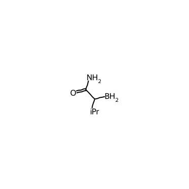 BC(C(N)=O)C(C)C